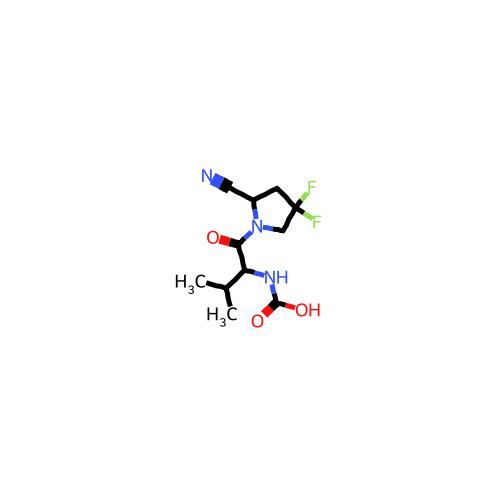 CC(C)C(NC(=O)O)C(=O)N1CC(F)(F)CC1C#N